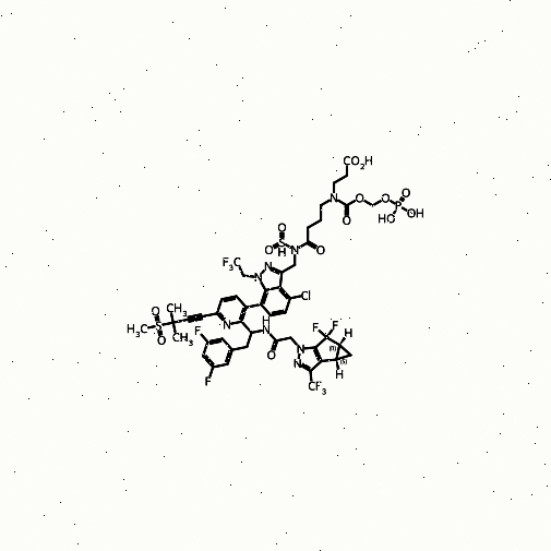 CC(C)(C#Cc1ccc(-c2ccc(Cl)c3c(CN(C(=O)CCCN(CCC(=O)O)C(=O)OCOP(=O)(O)O)[SH](=O)=O)nn(CC(F)(F)F)c23)c(C(Cc2cc(F)cc(F)c2)NC(=O)Cn2nc(C(F)(F)F)c3c2C(F)(F)[C@@H]2C[C@H]32)n1)S(C)(=O)=O